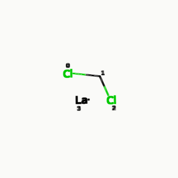 ClCCl.[La]